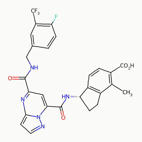 Cc1c(C(=O)O)ccc2c1CC[C@@H]2NC(=O)c1cc(C(=O)NCc2ccc(F)c(C(F)(F)F)c2)nc2ccnn12